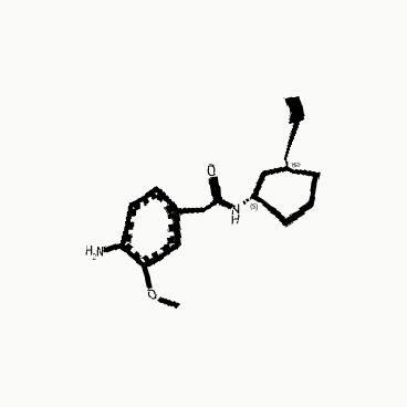 C#C[C@H]1CCC[C@H](NC(=O)c2ccc(N)c(OC)c2)C1